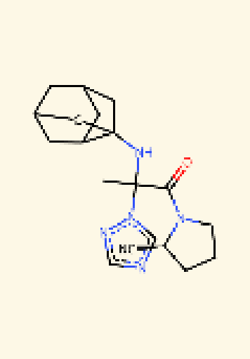 CC(NC12CC3CC(CC1C3)C2)(C(=O)N1CCC[C@H]1C#N)n1cncn1